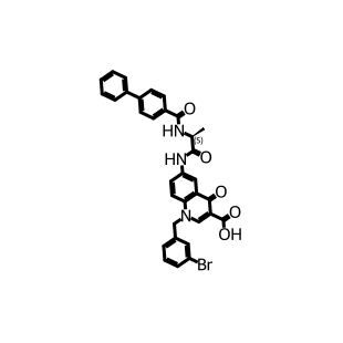 C[C@H](NC(=O)c1ccc(-c2ccccc2)cc1)C(=O)Nc1ccc2c(c1)c(=O)c(C(=O)O)cn2Cc1cccc(Br)c1